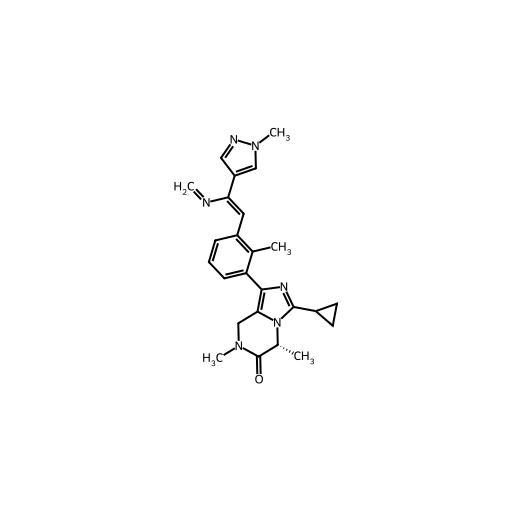 C=N/C(=C\c1cccc(-c2nc(C3CC3)n3c2CN(C)C(=O)[C@H]3C)c1C)c1cnn(C)c1